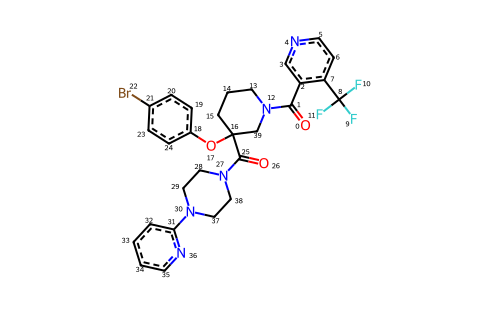 O=C(c1cnccc1C(F)(F)F)N1CCCC(Oc2ccc(Br)cc2)(C(=O)N2CCN(c3ccccn3)CC2)C1